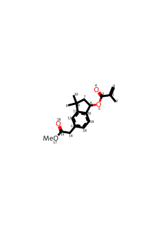 C=C(C)C(=O)OC1CC(C)(C)c2cc(CC(=O)OC)ccc21